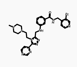 CCc1cnccc1CNC(=O)c1cccc(NCc2nnc(-c3ccncn3)n2CCN2CCN(C)CC2)c1